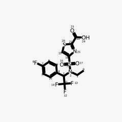 CCN(C(c1ccc(F)cc1)C(F)(F)F)S(=O)(=O)c1csc(C(=O)O)n1